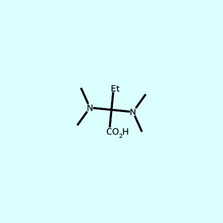 CCC(C(=O)O)(N(C)C)N(C)C